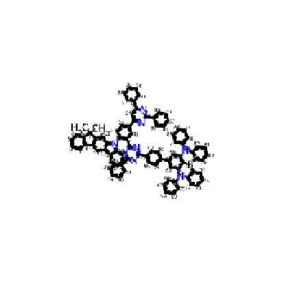 CC1(C)c2ccccc2-c2cc3c4ccccc4n(-c4ccc(-c5cc(-c6ccccc6)nc(-c6ccccc6)n5)cc4-c4nc(-c5ccccc5)nc(-c5ccc(-c6cc7c8c(c6)N(c6ccccc6)c6ccccc6B8c6ccccc6N7c6ccccc6)cc5)n4)c3cc21